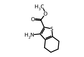 COC(=O)c1sc2c(c1N)CCCC2